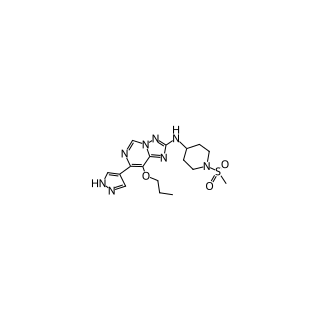 CCCOc1c(-c2cn[nH]c2)ncn2nc(NC3CCN(S(C)(=O)=O)CC3)nc12